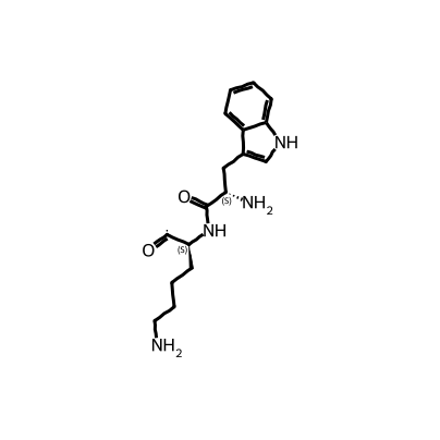 NCCCC[C@@H]([C]=O)NC(=O)[C@@H](N)Cc1c[nH]c2ccccc12